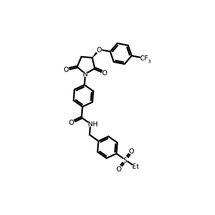 CCS(=O)(=O)c1ccc(CNC(=O)c2ccc(N3C(=O)C[C@@H](Oc4ccc(C(F)(F)F)cc4)C3=O)cc2)cc1